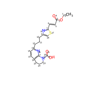 CCOC(=O)C=Cc1nc(CCCc2ccc3c(n2)N(C(=O)O)CCC3)cs1